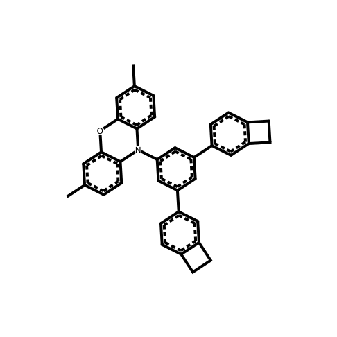 Cc1ccc2c(c1)Oc1cc(C)ccc1N2c1cc(-c2ccc3c(c2)CC3)cc(-c2ccc3c(c2)CC3)c1